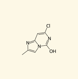 Cc1cn2c(O)nc(Cl)cc2n1